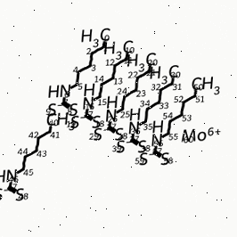 CCCCCCNC(=S)[S-].CCCCCCNC(=S)[S-].CCCCCCNC(=S)[S-].CCCCCCNC(=S)[S-].CCCCCCNC(=S)[S-].CCCCCCNC(=S)[S-].[Mo+6]